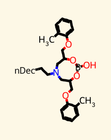 CCCCCCCCCCCCN1CC(COc2ccccc2C)OB(O)OC(COc2ccccc2C)C1